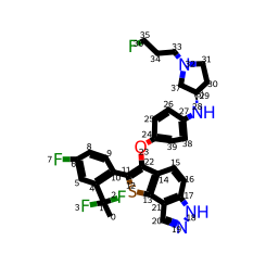 CC(F)(F)c1cc(F)ccc1-c1sc2c(ccc3[nH]ncc32)c1Oc1ccc(N[C@H]2CCN(CCCF)C2)cc1